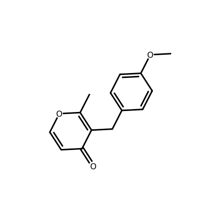 COc1ccc(Cc2c(C)occc2=O)cc1